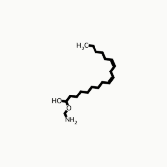 CCCCC/C=C\C/C=C\CCCCCCCC(O)OCN